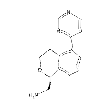 NC[C@H]1OCCc2c(-c3ccncn3)cccc21